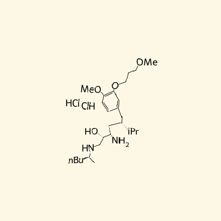 CCCC[C@H](C)NC[C@H](O)[C@@H](N)C[C@H](Cc1ccc(OC)c(OCCCOC)c1)C(C)C.Cl.Cl